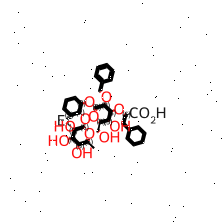 CC[C@H]1CCC[C@@H](O[C@@H]2O[C@H](CO)[C@H](O)[C@H](O[C@@H](CC3CCCCC3)C(=O)O)[C@H]2OCc2ccccc2)[C@@H]1O[C@@H]1O[C@@H](C)[C@@H](O)[C@@H](O)[C@@H]1O